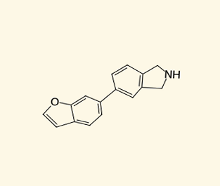 c1cc2ccc(-c3ccc4c(c3)CNC4)cc2o1